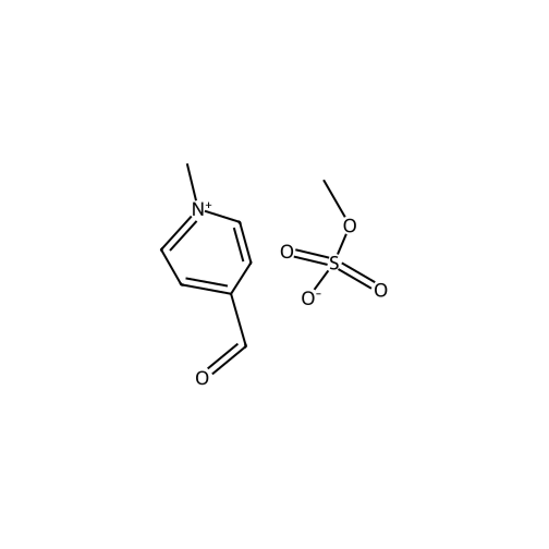 COS(=O)(=O)[O-].C[n+]1ccc(C=O)cc1